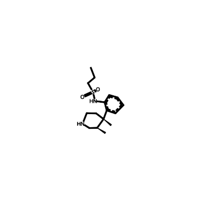 CCCS(=O)(=O)Nc1ccccc1[C@@]1(C)CCNC[C@@H]1C